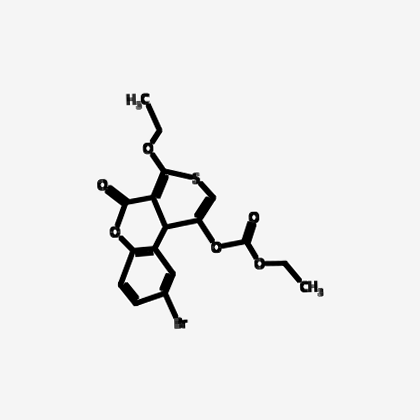 CCOC(=O)OC1=CSC(OCC)=C2C(=O)Oc3ccc(Br)cc3C12